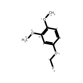 COc1ccc(OCF)cc1OC